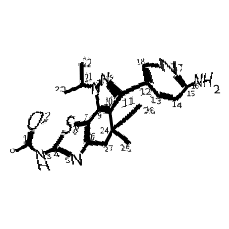 CC(=O)Nc1nc2c(s1)-c1c(c(-c3ccc(N)nc3)nn1C(C)C)C(C)(C)C2